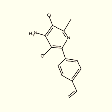 C=Cc1ccc(-c2nc(C)c(Cl)c(N)c2Cl)cc1